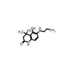 CCCNc1ccc2c(c1O)C(C)(C)CC(=O)N2